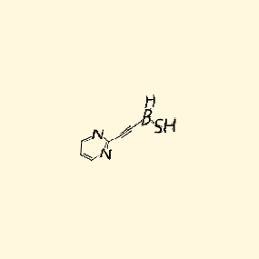 SBC#Cc1ncccn1